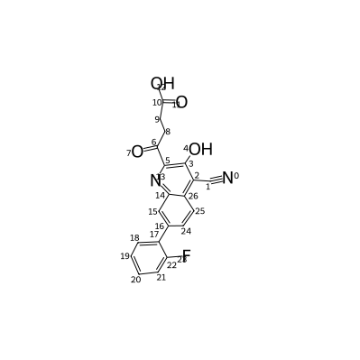 N#Cc1c(O)c(C(=O)CCC(=O)O)nc2cc(-c3ccccc3F)ccc12